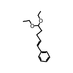 CCOC(CCC=Cc1ccccc1)OCC